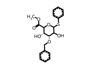 COC(=O)C1OC(Sc2ccccc2)C(O)[C@H](OCc2ccccc2)[C@@H]1O